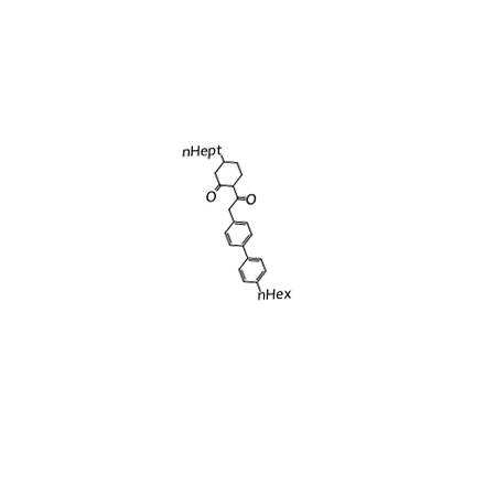 CCCCCCCC1CCC(C(=O)Cc2ccc(-c3ccc(CCCCCC)cc3)cc2)C(=O)C1